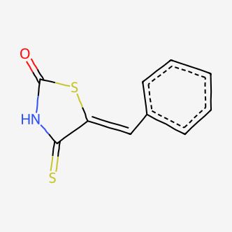 O=C1NC(=S)C(=Cc2ccccc2)S1